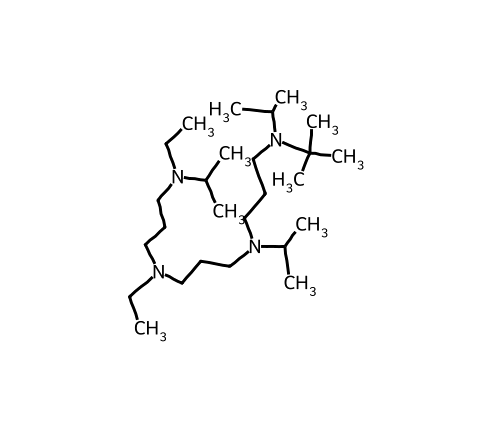 CCN(CCCN(CC)C(C)C)CCCN(CCCN(C(C)C)C(C)(C)C)C(C)C